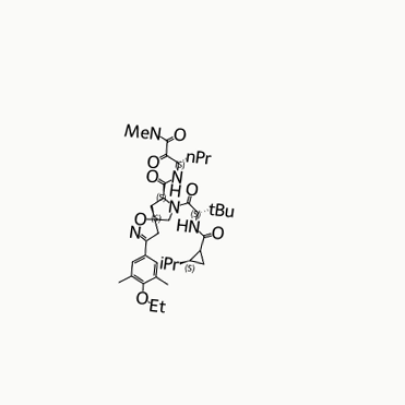 CCC[C@H](NC(=O)[C@@H]1C[C@]2(CC(c3cc(C)c(OCC)c(C)c3)=NO2)CN1C(=O)[C@@H](NC(=O)C1C[C@H]1C(C)C)C(C)(C)C)C(=O)C(=O)NC